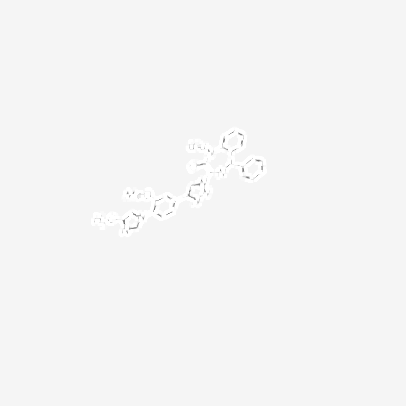 COc1cc(-c2cn(C3N=C(c4ccccc4)c4ccccc4N(C(C)(C)C)C3=O)nn2)ccc1-n1cnc(C)c1